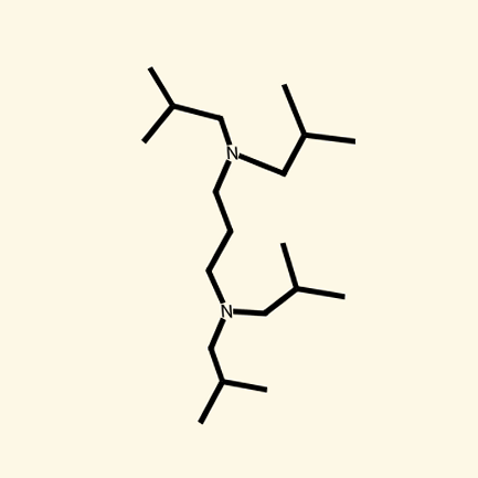 CC(C)CN(CCCN(CC(C)C)CC(C)C)CC(C)C